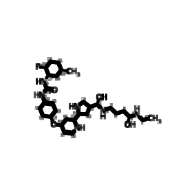 CCN[C@@H](O)CCCN[C@H](O)C1CNC(C2CC(O[C@@H]3CC=C(NC(=O)N[C@@H]4C[C@H](C)CC[C@@H]4F)CC3)C=CN2)C1